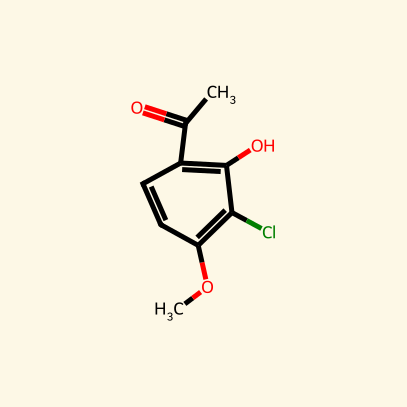 COc1ccc(C(C)=O)c(O)c1Cl